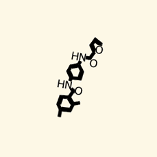 Cc1ccc(C(=O)Nc2ccc(NC(=O)c3ccco3)cc2)c(C)c1